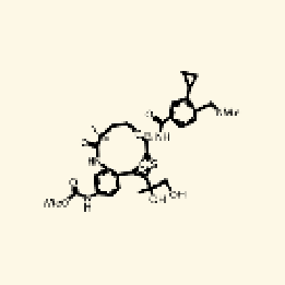 CNCc1ccc(C(=O)N[C@H]2CCC[C@@H](C)C(=O)Nc3cc(NC(=O)OC)ccc3-c3cc2sc3C(C)(O)CO)cc1C1CC1